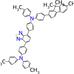 Cc1ccc(N(c2ccc(C)cc2)c2ccc(-c3ccc(-c4ccc(N(c5ccc(C)cc5)c5ccc(-c6ccc7c(c6)C(C)(C)c6cc(C)ccc6-7)cc5)cc4)c4nsnc34)cc2)cc1